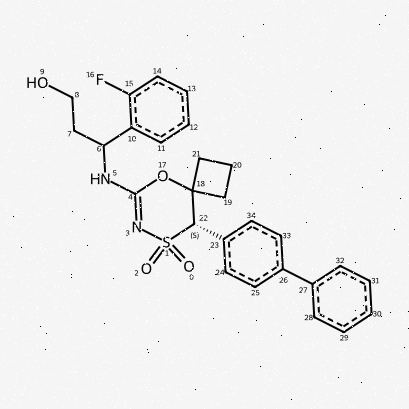 O=S1(=O)N=C(NC(CCO)c2ccccc2F)OC2(CCC2)[C@@H]1c1ccc(-c2ccccc2)cc1